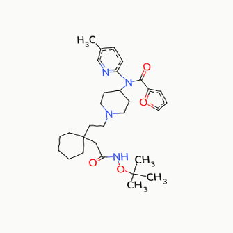 Cc1ccc(N(C(=O)c2ccco2)C2CCN(CCC3(CC(=O)NOC(C)(C)C)CCCCC3)CC2)nc1